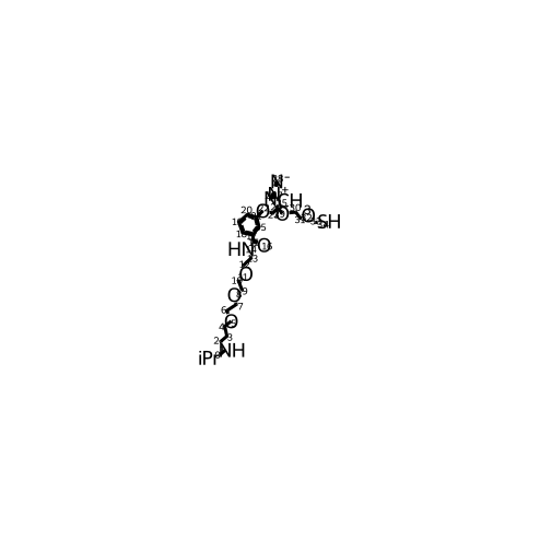 CC(C)NCCCOCCOCCOCCNC(=O)c1cccc(OCC(C)(N=[N+]=[N-])OCCOCS)c1